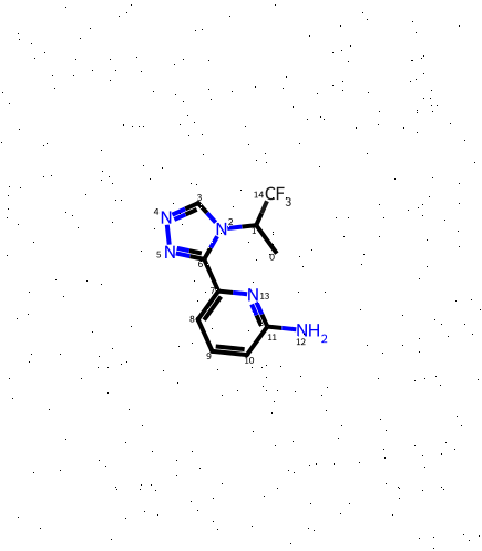 CC(n1cnnc1-c1cccc(N)n1)C(F)(F)F